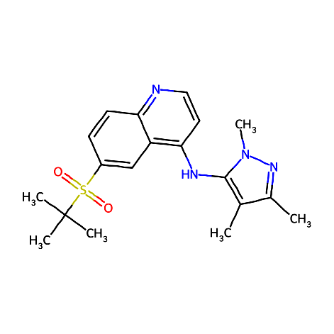 Cc1nn(C)c(Nc2ccnc3ccc(S(=O)(=O)C(C)(C)C)cc23)c1C